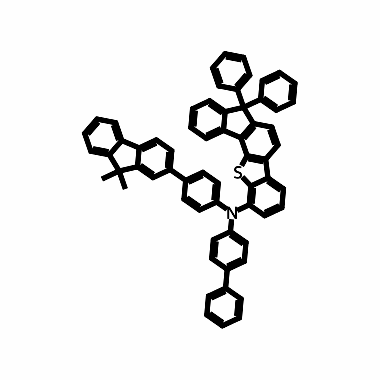 CC1(C)c2ccccc2-c2ccc(-c3ccc(N(c4ccc(-c5ccccc5)cc4)c4cccc5c4sc4c6c(ccc45)C(c4ccccc4)(c4ccccc4)c4ccccc4-6)cc3)cc21